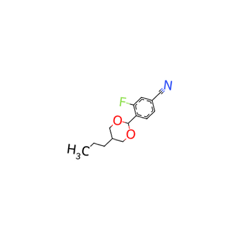 CCCC1COC(c2ccc(C#N)cc2F)OC1